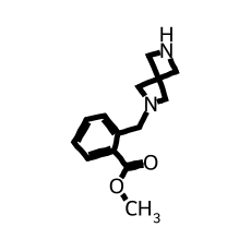 COC(=O)c1ccccc1CN1CC2(CNC2)C1